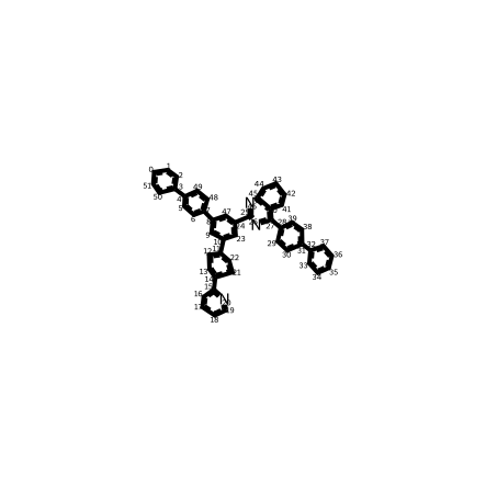 c1ccc(-c2ccc(-c3cc(-c4ccc(-c5ccccn5)cc4)cc(-c4nc(-c5ccc(-c6ccccc6)cc5)c5ccccc5n4)c3)cc2)cc1